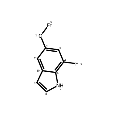 CCOc1cc(F)c2[nH]ccc2c1